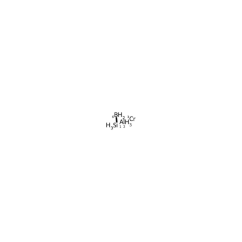 B[SiH3].[AlH3].[Cr]